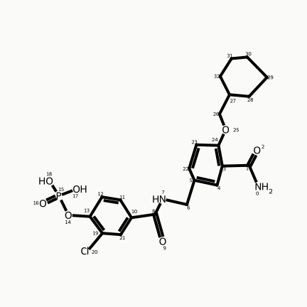 NC(=O)c1cc(CNC(=O)c2ccc(OP(=O)(O)O)c(Cl)c2)ccc1OCC1CCCCC1